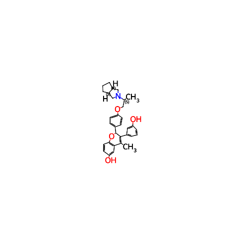 CC1=C(c2cccc(O)c2)C(c2ccc(OC[C@H](C)N3C[C@H]4CCC[C@H]4C3)cc2)Oc2ccc(O)cc21